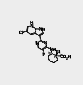 CC[C@@]1(C(=O)O)CCCC[C@H]1Nc1nc(C2=CNC3NC=C(Cl)C=C23)ncc1F